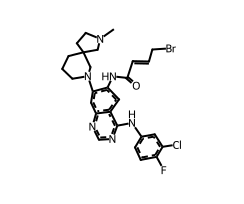 CN1CCC2(CCCN(c3cc4ncnc(Nc5ccc(F)c(Cl)c5)c4cc3NC(=O)C=CCBr)C2)C1